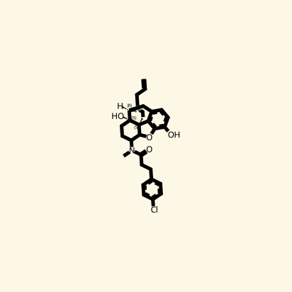 C=CCN1CC[C@]23c4c5ccc(O)c4OC2C(N(C)C(=O)CCc2ccc(Cl)cc2)CC[C@@]3(O)[C@H]1C5